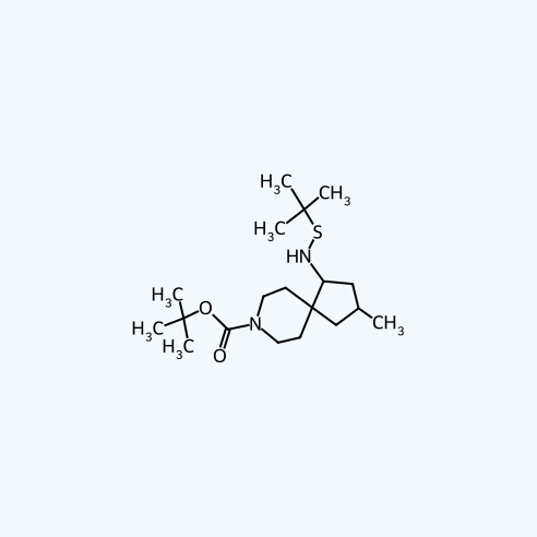 CC1CC(NSC(C)(C)C)C2(CCN(C(=O)OC(C)(C)C)CC2)C1